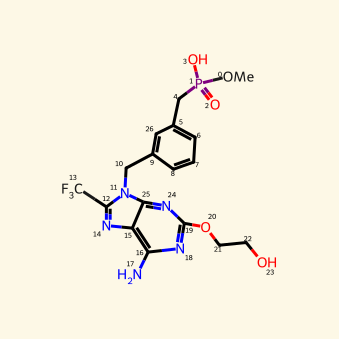 COP(=O)(O)Cc1cccc(Cn2c(C(F)(F)F)nc3c(N)nc(OCCO)nc32)c1